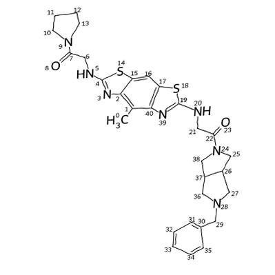 Cc1c2nc(NCC(=O)N3CCCC3)sc2cc2sc(NCC(=O)N3CC4CN(Cc5ccccc5)CC4C3)nc12